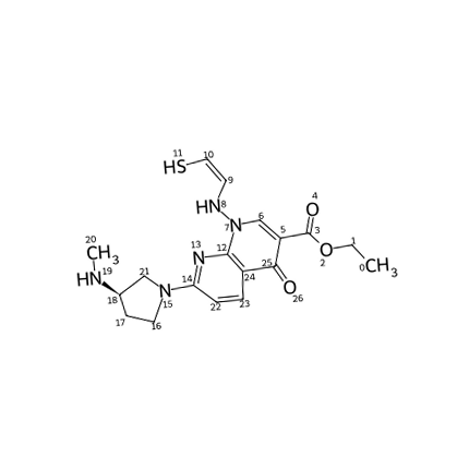 CCOC(=O)c1cn(N/C=C\S)c2nc(N3CC[C@@H](NC)C3)ccc2c1=O